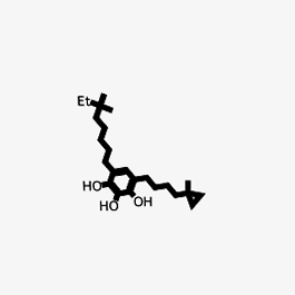 CCC(C)(C)CCCCCc1cc(CCCCC2(C)CC2)c(O)c(O)c1O